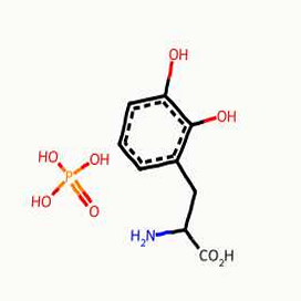 NC(Cc1cccc(O)c1O)C(=O)O.O=P(O)(O)O